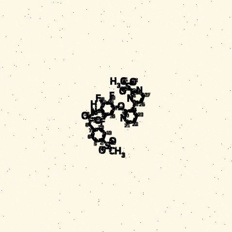 CS(=O)(=O)c1ccc(CS(=O)(=O)Nc2c(F)cc(Oc3ncccc3-c3ccnc(S(C)(=O)=O)n3)c(F)c2F)cc1